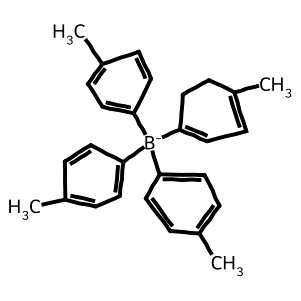 CC1=CC=C([B-](c2ccc(C)cc2)(c2ccc(C)cc2)c2ccc(C)cc2)CC1